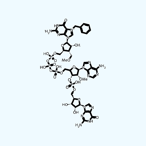 COC[C@H]1[C@@H](O)[C@H](n2c[n+](Cc3ccccc3)c3c(=O)[nH]c(N)nc32)O[C@@H]1COP(=O)(O)OP(=O)(O)OP(=O)(O)OCC1O[C@@H](n2cnc3c(N)ncnc32)[C@H](OC)[C@@H]1OP(=O)(O)OC[C@H]1O[C@@H](n2cnc3c(=O)[nH]c(N)nc32)[C@H](O)[C@@H]1O